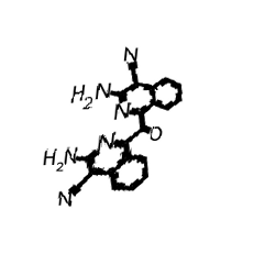 N#Cc1c(N)nc(C(=O)c2nc(N)c(C#N)c3ccccc23)c2ccccc12